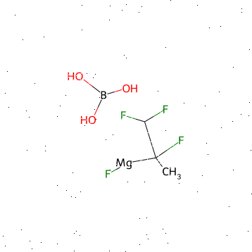 C[C](F)([Mg][F])C(F)F.OB(O)O